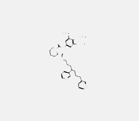 COc1cc(OC(=O)N2CCCC[C@H]2C(=O)OCCCC(CCCc2cccnc2)c2cccnc2)cc(OC)c1OC